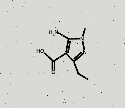 CCc1nn(C)c(N)c1C(=O)O